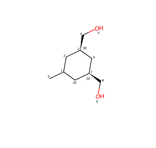 CC1C[C@@H](CO)C[C@@H](CO)C1